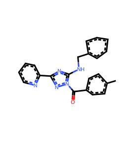 Cc1ccc(C(=O)n2nc(-c3ccccn3)nc2NCc2ccccc2)cc1